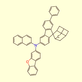 c1ccc(-c2ccc3c(c2)C2(c4ccc(N(c5ccc6ccccc6c5)c5ccc6c(c5)oc5ccccc56)cc4-3)C3CC4CC5CC2C45C3)cc1